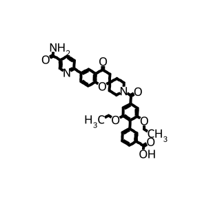 CCOc1cc(C(=O)N2CCC3(CC2)CC(=O)c2cc(-c4ccc(C(N)=O)cn4)ccc2O3)cc(OCC)c1-c1cccc(C(=O)O)c1